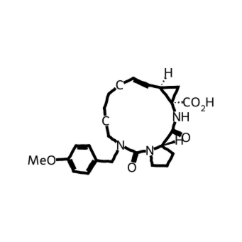 COc1ccc(CN2CCCCC/C=C\[C@H]3C[C@@]3(C(=O)O)NC(=O)[C@@H]3CCCN3C2=O)cc1